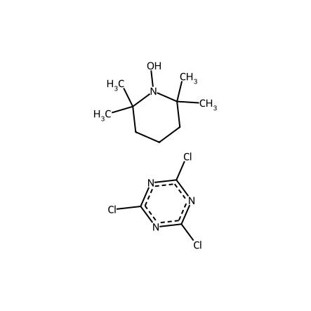 CC1(C)CCCC(C)(C)N1O.Clc1nc(Cl)nc(Cl)n1